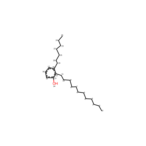 CCCCCCCCCCCCc1c(O)cccc1CCCCCCC